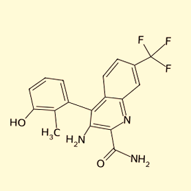 Cc1c(O)cccc1-c1c(N)c(C(N)=O)nc2cc(C(F)(F)F)ccc12